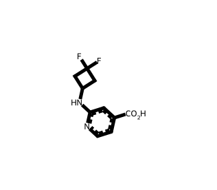 O=C(O)c1ccnc(NC2CC(F)(F)C2)c1